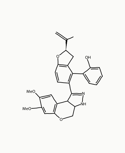 C=C(C)[C@H]1Cc2c(ccc(C3=NNC4COc5cc(OC)c(OC)cc5C34)c2-c2ccccc2O)O1